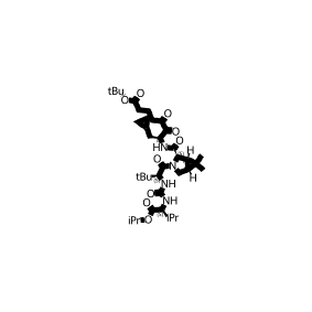 CC(C)OC(=O)[C@@H](NC(=O)N[C@H](C(=O)N1C[C@H]2[C@@H]([C@H]1C(=O)N[C@@H](CC1CC1)C(=O)C(=O)CCCC(=O)OC(C)(C)C)C2(C)C)C(C)(C)C)C(C)C